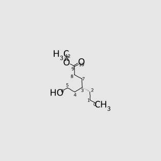 CCC[C@H](CCO)CCC(=O)OC